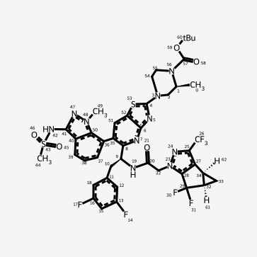 C[C@H]1CN(c2nc3nc([C@H](Cc4cc(F)cc(F)c4)NC(=O)Cn4nc(C(F)(F)F)c5c4C(F)(F)[C@@H]4C[C@H]54)c(-c4cccc5c(NS(C)(=O)=O)nn(C)c45)cc3s2)CCN1C(=O)OC(C)(C)C